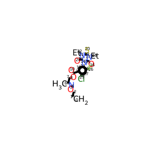 C=CCON=C(C)COC(=O)c1cc(-n2c(=O)n(CC)c(=S)n(CC)c2=O)c(F)cc1Cl